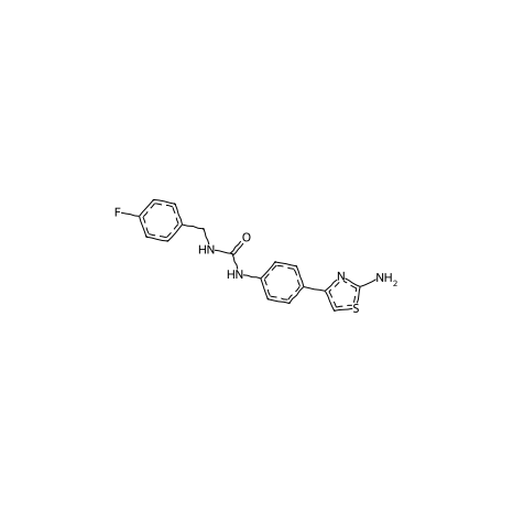 Nc1nc(-c2ccc(NC(=O)NCc3ccc(F)cc3)cc2)cs1